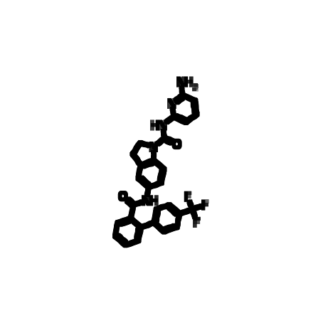 Nc1cccc(NC(=O)N2CCc3cc(NC(=O)c4ccccc4-c4ccc(C(F)(F)F)cc4)ccc32)n1